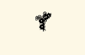 CC(C)(C)OC(=O)C1CCCN1CCOc1cc(Br)ccc1Sc1cccc(F)c1